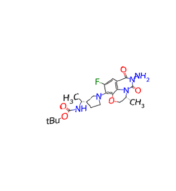 CC(NC(=O)OC(C)(C)C)[C@H]1CCN(c2c(F)cc3c(=O)n(N)c(=O)n4c3c2OC[C@H]4C)C1